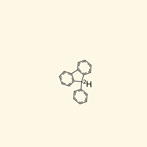 [2H]C1(c2ccccc2)c2ccccc2-c2ccccc21